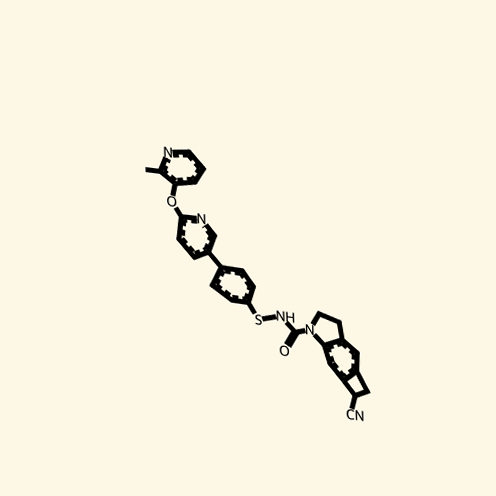 Cc1ncccc1Oc1ccc(-c2ccc(SNC(=O)N3CCc4cc5c(cc43)C(C#N)C5)cc2)cn1